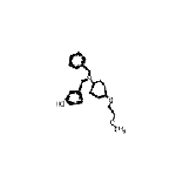 COCCOC1CCC(N(Cc2ccccc2)Cc2ccccc2)CC1.Cl